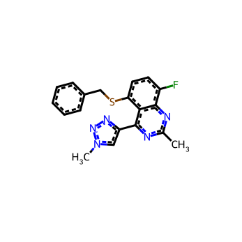 Cc1nc(-c2cn(C)nn2)c2c(SCc3ccccc3)ccc(F)c2n1